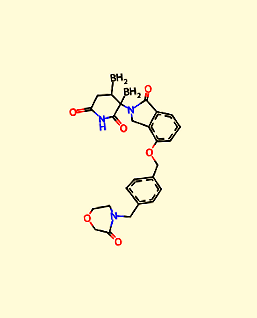 BC1CC(=O)NC(=O)C1(B)N1Cc2c(OCc3ccc(CN4CCOCC4=O)cc3)cccc2C1=O